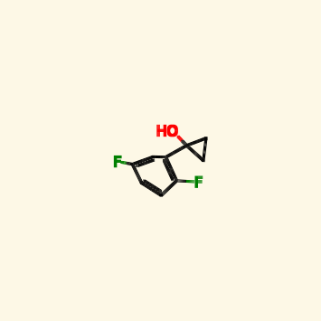 OC1(c2cc(F)ccc2F)CC1